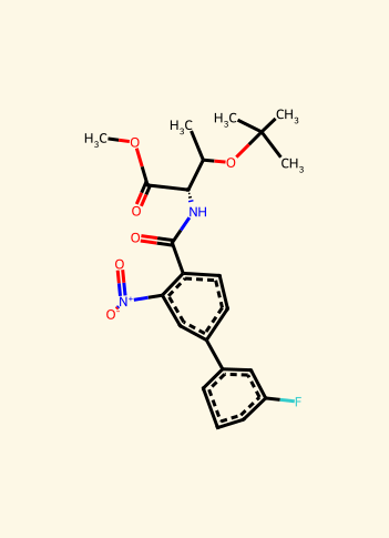 COC(=O)[C@@H](NC(=O)c1ccc(-c2cccc(F)c2)cc1[N+](=O)[O-])C(C)OC(C)(C)C